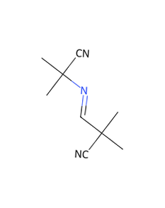 CC(C)(C#N)C=NC(C)(C)C#N